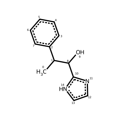 CC(c1ccccc1)C(O)c1ncc[nH]1